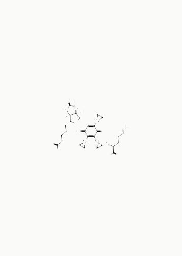 CCCCC(N)C(=O)O.O=C(O)CCCC[C@@H]1SC[C@@H]2NC(=O)N[C@@H]21.O=C1C=C(N2CC2)C(=O)C(N2CC2)=C1N1CC1